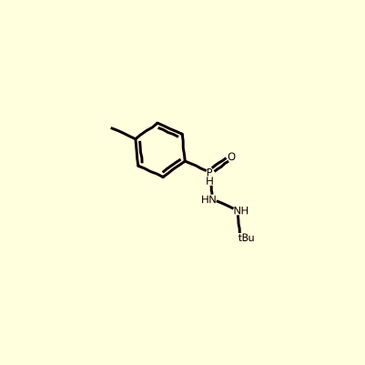 Cc1ccc([PH](=O)NNC(C)(C)C)cc1